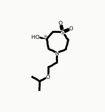 CC(C)OCCN1CCS(=O)(=O)C[C@H](O)C1